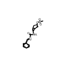 CS(=O)(=O)OC1CC2C(C1)C2NC(=O)OCc1ccccc1